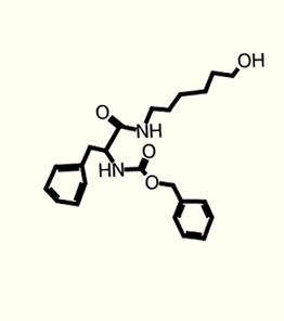 O=C(NC(Cc1ccccc1)C(=O)NCCCCCCO)OCc1ccccc1